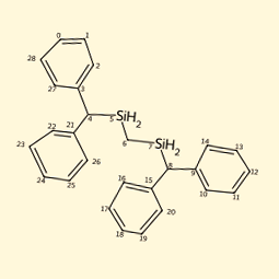 c1ccc(C([SiH2]C[SiH2]C(c2ccccc2)c2ccccc2)c2ccccc2)cc1